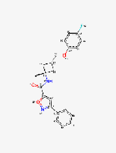 C[C@]1(NC(=O)c2cc(-c3ccccc3)no2)C[C@@H](COc2ccc(F)cc2)C1